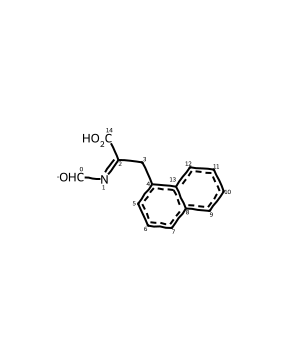 O=[C]N=C(Cc1cccc2ccccc12)C(=O)O